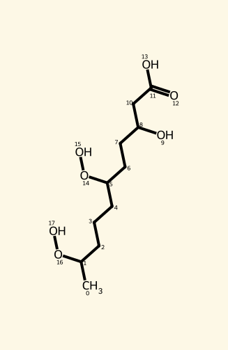 CC(CCCC(CCC(O)CC(=O)O)OO)OO